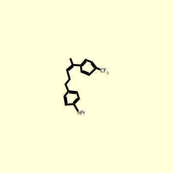 CCCc1ccc(CCC=C(C)c2ccc(C(F)(F)F)cc2)cc1